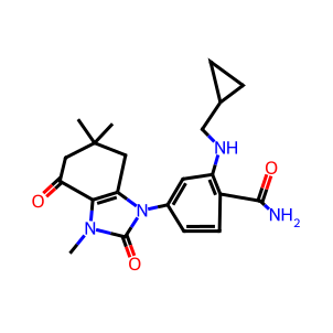 Cn1c2c(n(-c3ccc(C(N)=O)c(NCC4CC4)c3)c1=O)CC(C)(C)CC2=O